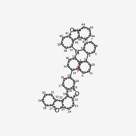 c1ccc(-c2ccccc2N(c2ccc(-c3ccc4c(c3)oc3ccc5oc6ccccc6c5c34)cc2)c2cccc3oc4ccccc4c23)cc1